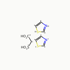 O=C(O)CS(=O)(=O)O.c1cscn1.c1cscn1